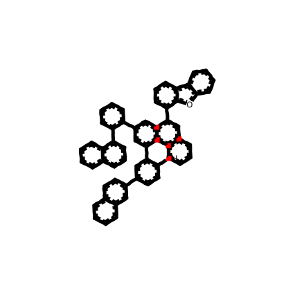 c1ccc(-c2ccc(-c3ccccc3-c3cccc4ccccc34)cc2-c2cc(-c3ccc4ccccc4c3)ccc2Nc2ccc(-c3cccc4c3oc3ccccc34)cc2)cc1